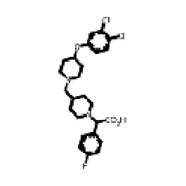 O=C(O)C(c1ccc(F)cc1)N1CCC(CN2CCC(Oc3ccc(Cl)c(Cl)c3)CC2)CC1